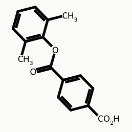 Cc1cccc(C)c1OC(=O)c1ccc(C(=O)O)cc1